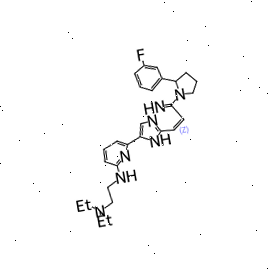 CCN(CC)CCNc1cccc(-c2cnc(/C=C\C(=N)N3CCCC3c3cccc(F)c3)[nH]2)n1